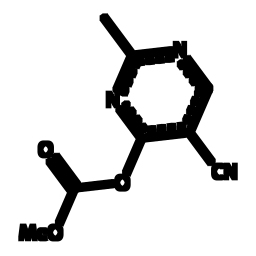 COC(=O)Oc1nc(C)ncc1C#N